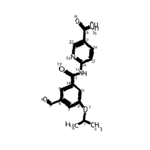 CC(C)Oc1cc(C=O)cc(C(=O)Nc2ccc(C(=O)O)cn2)c1